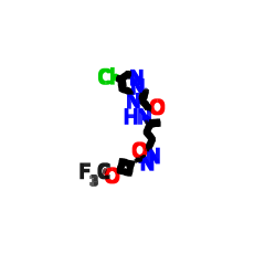 C=C(CCc1nnc([C@H]2C[C@@H](OC(F)(F)F)C2)o1)NC(=O)c1cn2ncc(Cl)cc2n1